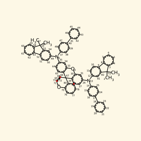 CC1(C)c2ccccc2-c2ccc(N(c3ccc(-c4ccccc4)cc3)c3ccc4c(c3)Oc3cc(N(c5ccc(-c6ccccc6)cc5)c5ccc6c(c5)C(C)(C)c5ccccc5-6)ccc3C43c4ccccc4Oc4ccccc43)cc21